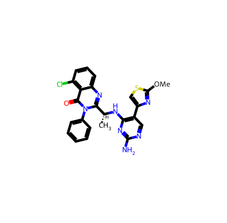 COc1nc(-c2cnc(N)nc2N[C@H](C)c2nc3cccc(Cl)c3c(=O)n2-c2ccccc2)cs1